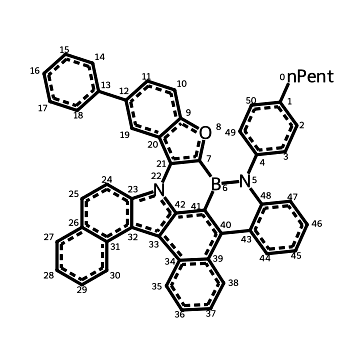 CCCCCc1ccc(N2B3c4oc5ccc(-c6ccccc6)cc5c4-n4c5ccc6ccccc6c5c5c6ccccc6c(c3c54)-c3ccccc32)cc1